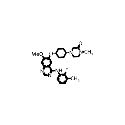 COc1cc2ncnc(Nc3cccc(C)c3F)c2cc1O[C@H]1CC[C@@H](N2CCN(C)C(=O)C2)CC1